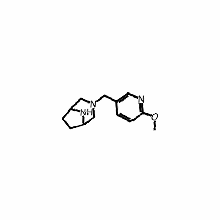 COc1ccc(CN2CC3CCC(C2)N3)cn1